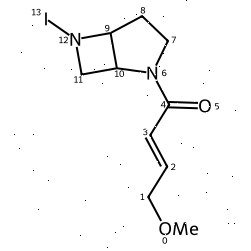 COC/C=C/C(=O)N1CCC2C1CN2I